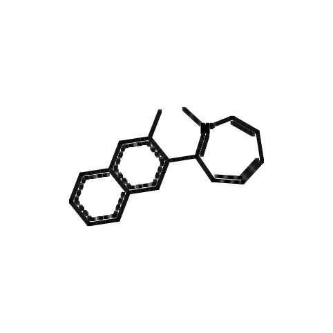 Cc1cc2ccccc2cc1C1=[N+](C)C=CC=C=C1